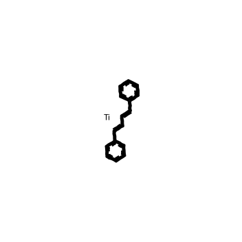 C(C=Cc1ccccc1)=Cc1ccccc1.[Ti]